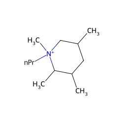 CCC[N+]1(C)CC(C)CC(C)C1C